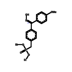 CCOP(=O)(Cc1ccc(/C(=N/O)c2ccc(OC)cc2)cc1)OCC